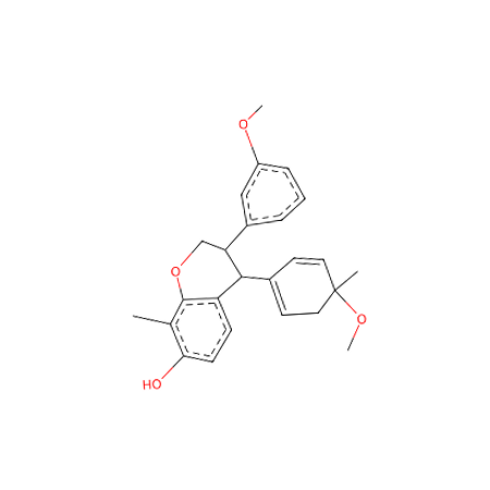 COc1cccc(C2COc3c(ccc(O)c3C)C2C2=CCC(C)(OC)C=C2)c1